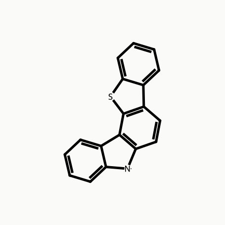 c1ccc2c(c1)[N]c1ccc3c(sc4ccccc43)c1-2